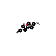 C=C(/C=C(\CCC)c1cccc2c1C1C=CC=CC1N2c1ccc(C#N)cc1)C1C=CC=C2C3=C(CCC(C)=C3)N(c3ccccc3)C21